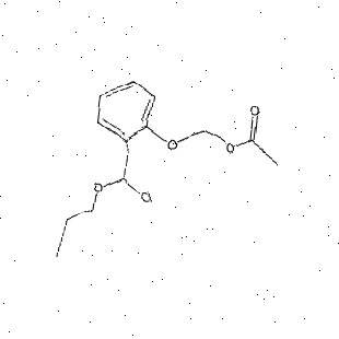 CCCOC(Cl)c1ccccc1OCOC(C)=O